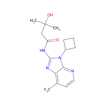 CC(C)(O)CC(=O)Nc1nc2c(C(F)(F)F)ccnc2n1C1CCC1